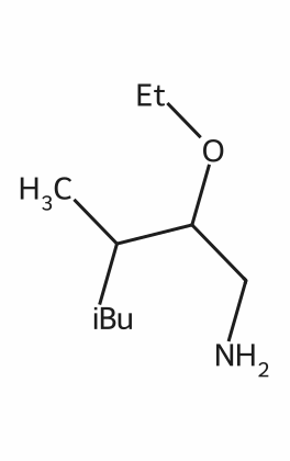 CCOC(CN)C(C)C(C)CC